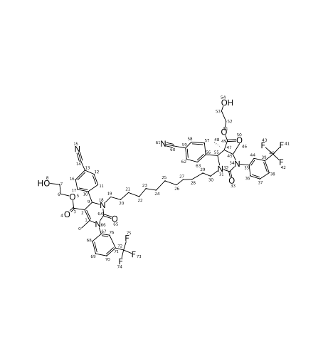 CC1=C(C(=O)OCCO)C(c2ccc(C#N)cc2)N(CCCCCCCCCCCCN2C(=O)N(c3cccc(C(F)(F)F)c3)C(C)[C@](C)(C(=O)OCCO)C2c2ccc(C#N)cc2)C(=O)N1c1cccc(C(F)(F)F)c1